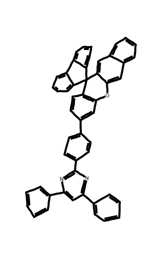 c1ccc(-c2cc(-c3ccccc3)nc(-c3ccc(-c4ccc5c(c4)Oc4cc6ccccc6cc4C54c5ccccc5-c5ccccc54)cc3)n2)cc1